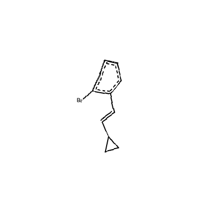 Brc1ccccc1/C=C/C1CC1